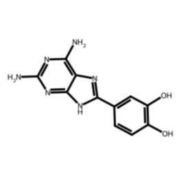 Nc1nc(N)c2nc(-c3ccc(O)c(O)c3)[nH]c2n1